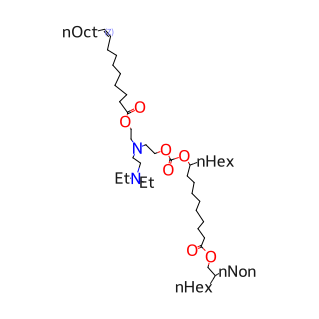 CCCCCCCC/C=C\CCCCCCCC(=O)OCCN(CCOC(=O)OC(CCCCCC)CCCCCCCCC(=O)OCC(CCCCCC)CCCCCCCCC)CCN(CC)CC